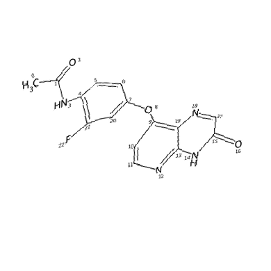 CC(=O)Nc1ccc(Oc2ccnc3[nH]c(=O)cnc23)cc1F